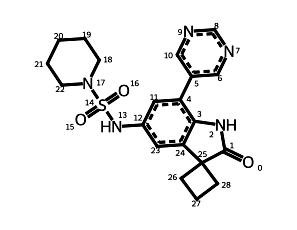 O=C1Nc2c(-c3cncnc3)cc(NS(=O)(=O)N3CCCCC3)cc2C12CCC2